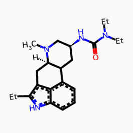 CCc1[nH]c2cccc3c2c1C[C@@H]1C3C[C@H](NC(=O)N(CC)CC)CN1C